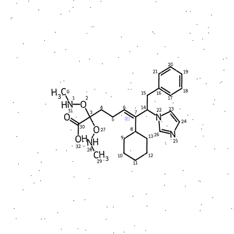 CNOC(CC/C=C(\C1CCCCC1)C(Cc1ccccc1)n1ccnc1)(ONC)C(=O)O